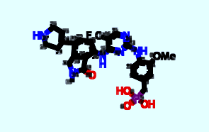 COc1cc(CP(=O)(O)O)ccc1Nc1ncc(C(F)(F)F)c(Nc2ccc(C3=CCNCC3)c3c2C(=O)N(C)C3)n1